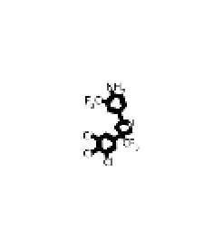 Nc1ccc(C2=NCC(c3cc(Cl)c(Cl)c(Cl)c3)(C(F)(F)F)C2)cc1C(F)(F)F